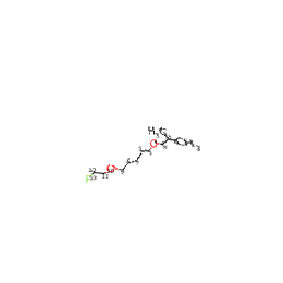 CC(C)COCCCCCOCCF